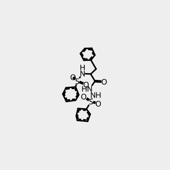 O=C(NNS(=O)(=O)c1ccccc1)C(Cc1ccccc1)NS(=O)(=O)c1ccccc1